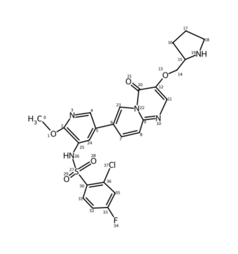 COc1ncc(-c2ccc3ncc(OCC4CCCN4)c(=O)n3c2)cc1NS(=O)(=O)c1ccc(F)cc1Cl